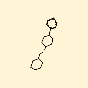 Cl.c1ccc(C2CCC(NCC3CCCCC3)CC2)cc1